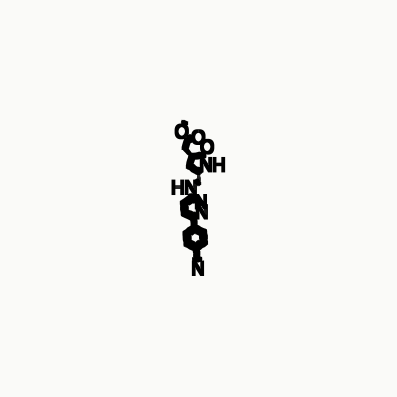 COC(=O)C[C@@H]1C[C@@H](CNc2ccc(-c3ccc(C#N)cc3)nn2)NC1=O